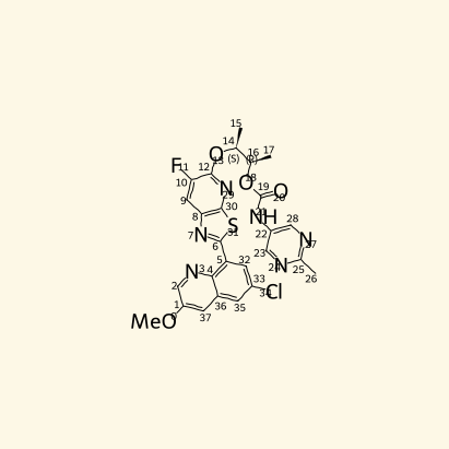 COc1cnc2c(-c3nc4cc(F)c(O[C@@H](C)[C@@H](C)OC(=O)Nc5cnc(C)nc5)nc4s3)cc(Cl)cc2c1